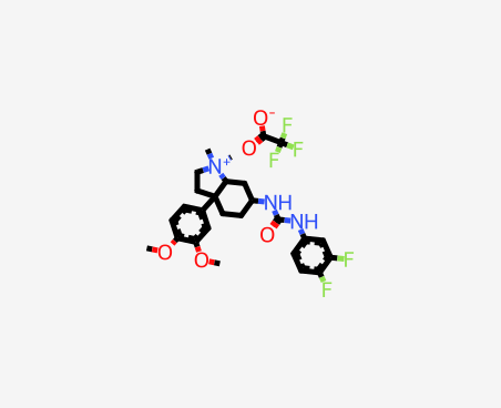 COc1ccc(C23CCC(NC(=O)Nc4ccc(F)c(F)c4)CC2[N+](C)(C)CC3)cc1OC.O=C([O-])C(F)(F)F